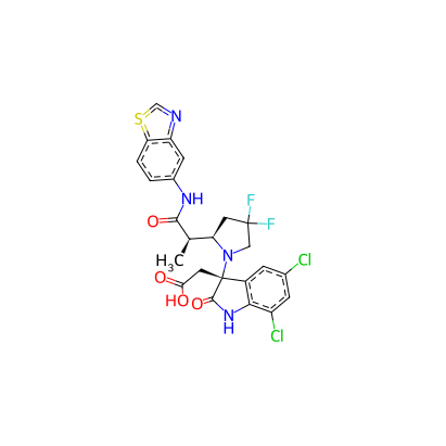 C[C@@H](C(=O)Nc1ccc2scnc2c1)[C@H]1CC(F)(F)CN1[C@@]1(CC(=O)O)C(=O)Nc2c(Cl)cc(Cl)cc21